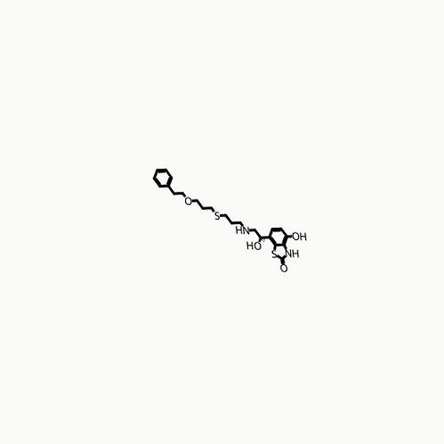 O=c1[nH]c2c(O)ccc([C@@H](O)CNCCCSCCCOCCc3ccccc3)c2s1